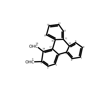 O=Cc1ccc2c3ccccc3c3ccccc3c2c1C=O